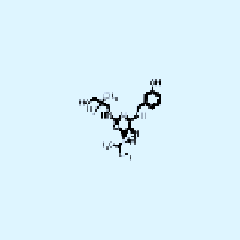 CC(C)n1nnc2c(NCc3cccc(O)c3)nc(NCC(C)(C)CO)nc21